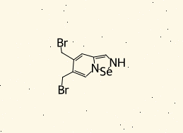 BrCC1=CC2=CN[Se]N2C=C1CBr